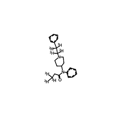 [2H]C([2H])([2H])CC(=O)N(c1ccccc1)C1CCN(C([2H])([2H])C([2H])([2H])c2ccccc2)CC1